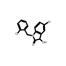 O=C1C(O)c2cc(Cl)ccc2N1Cc1ccccc1Cl